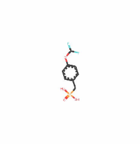 O=P(O)(O)Cc1ccc(OC(F)F)cc1